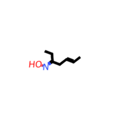 C/C=C/C/C(CC)=N/O